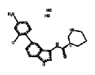 Cl.Cl.Nc1ccc(-c2ccc3[nH]nc(NC(=O)[C@@H]4CCCNC4)c3c2)c(Cl)c1